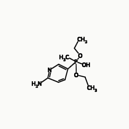 CCOP(C)(O)(OCC)c1ccc(N)nc1